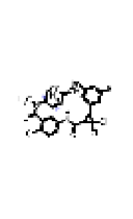 C=C(F)/C=C\C(=C/C)N(C)C(=O)c1cc(NC(=O)C2C(c3cc(Br)cc(Br)c3)C2(Cl)Cl)ccc1Cl